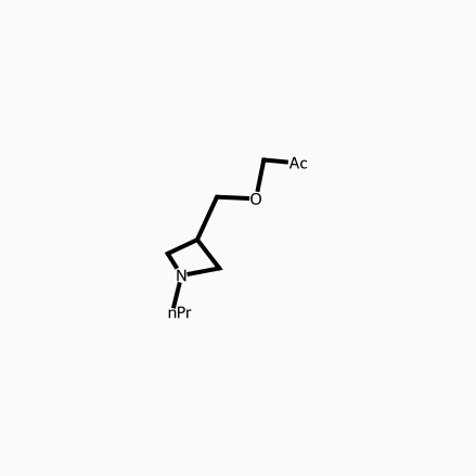 CCCN1CC(COCC(C)=O)C1